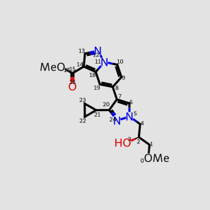 COC[C@@H](O)Cn1cc(-c2ccn3ncc(C(=O)OC)c3c2)c(C2CC2)n1